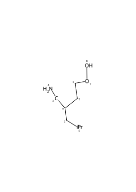 CC(C)CC(CN)CCOO